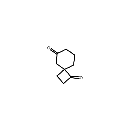 O=C1CCCC2(CCC2=O)C1